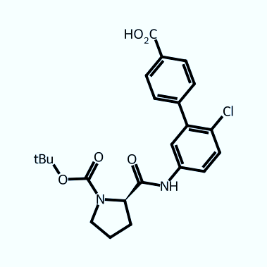 CC(C)(C)OC(=O)N1CCC[C@@H]1C(=O)Nc1ccc(Cl)c(-c2ccc(C(=O)O)cc2)c1